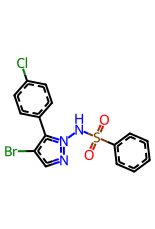 O=S(=O)(Nn1ncc(Br)c1-c1ccc(Cl)cc1)c1ccccc1